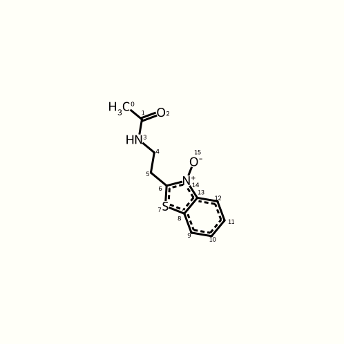 CC(=O)NCCc1sc2ccccc2[n+]1[O-]